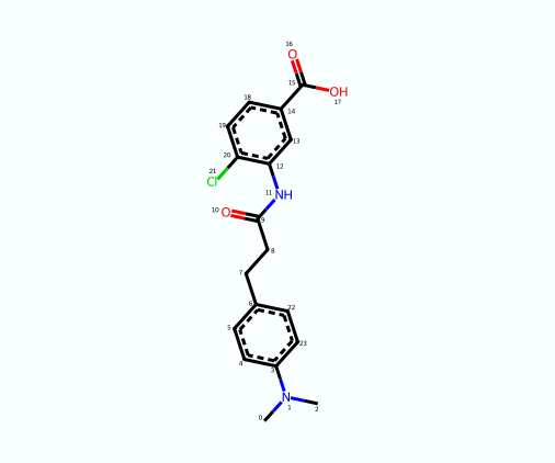 CN(C)c1ccc(CCC(=O)Nc2cc(C(=O)O)ccc2Cl)cc1